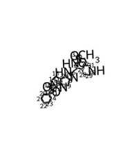 CS(=O)(=O)NC(c1nc2cnc3c(ccn3S(=O)(=O)c3ccccc3)c2[nH]1)C1CCNCC1